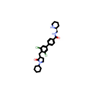 O=C(NC[C@@H]1CCCCN1)c1ccc(-c2cc(Cl)c(CC3CCN(C4CCCCC4)C3=O)c(Cl)c2)cc1